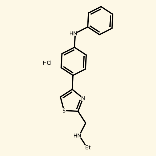 CCNCc1nc(-c2ccc(Nc3ccccc3)cc2)cs1.Cl